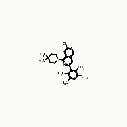 Cc1cc(C)c(C)c(-c2cc3cnc(Cl)cc3c(N3CCC(C)(C)CC3)n2)c1C